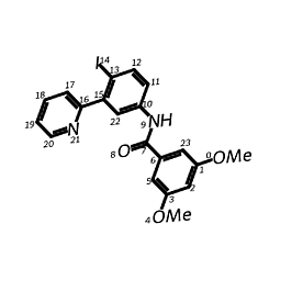 COc1cc(OC)cc(C(=O)Nc2ccc(I)c(-c3ccccn3)c2)c1